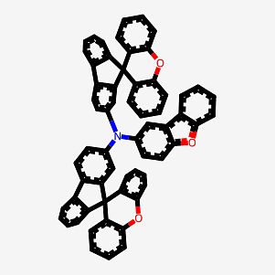 c1ccc2c(c1)Oc1ccccc1C21c2ccccc2-c2ccc(N(c3ccc4c(c3)C3(c5ccccc5Oc5ccccc53)c3ccccc3-4)c3ccc4oc5ccccc5c4c3)cc21